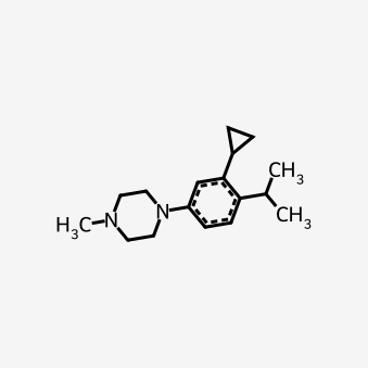 CC(C)c1ccc(N2CCN(C)CC2)cc1C1CC1